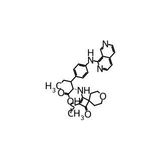 CCC(c1ccc(Nc2nccc3ccncc23)cc1)[C@H](NC1=C(SC)C(=O)C12CCOCC2)C(=O)O